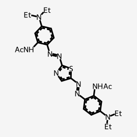 CCN(CC)c1ccc(/N=N/c2cnc(/N=N/c3ccc(N(CC)CC)cc3NC(C)=O)s2)c(NC(C)=O)c1